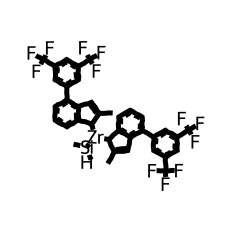 CC1=Cc2c(-c3cc(C(F)(F)F)cc(C(F)(F)F)c3)cccc2[CH]1[Zr]([CH]1C(C)=Cc2c(-c3cc(C(F)(F)F)cc(C(F)(F)F)c3)cccc21)[SiH](C)C